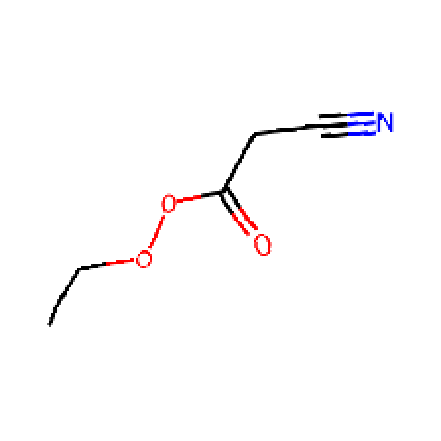 CCOOC(=O)CC#N